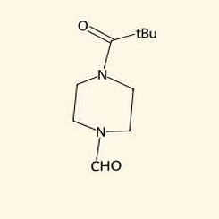 CC(C)(C)C(=O)N1CCN(C=O)CC1